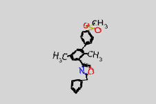 Cc1cc(-c2ccc(S(C)(=O)=O)cc2)c(C)c(-c2coc(Cc3ccccc3)n2)c1